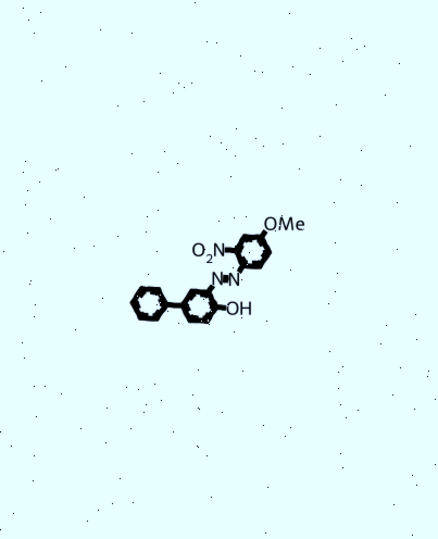 COc1ccc(N=Nc2cc(-c3ccccc3)ccc2O)c([N+](=O)[O-])c1